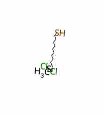 C[Si](Cl)(Cl)CCCCCCCCCCS